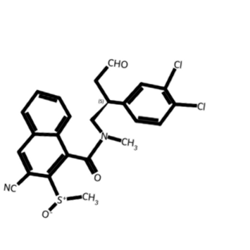 CN(C[C@@H](CC=O)c1ccc(Cl)c(Cl)c1)C(=O)c1c([S+](C)[O-])c(C#N)cc2ccccc12